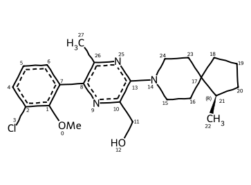 COc1c(Cl)cccc1-c1nc(CO)c(N2CCC3(CCC[C@H]3C)CC2)nc1C